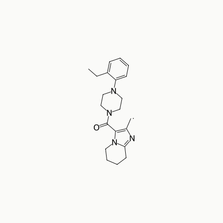 [CH2]c1nc2n(c1C(=O)N1CCN(c3ccccc3CC)CC1)CCCC2